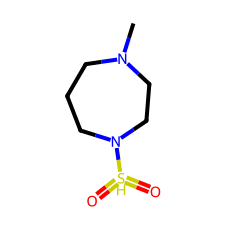 CN1CCCN([SH](=O)=O)CC1